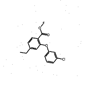 CCc1ccc(C(=O)OF)c(Oc2cccc(Cl)c2)c1